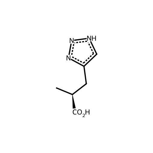 C[C@@H](Cc1c[nH]nn1)C(=O)O